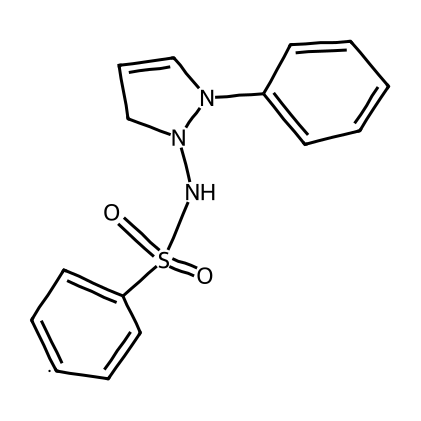 O=S(=O)(NN1CC=CN1c1ccccc1)c1cc[c]cc1